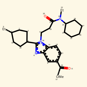 CCC1CCC(c2nc3cc(C(=O)OC)ccc3n2CCC(=O)N(CC)C2CCCCC2)CC1